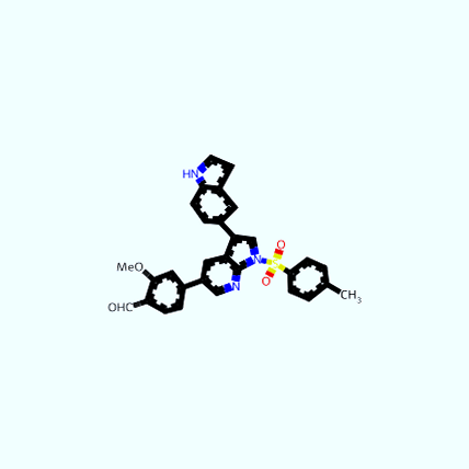 COc1cc(-c2cnc3c(c2)c(-c2ccc4[nH]ccc4c2)cn3S(=O)(=O)c2ccc(C)cc2)ccc1C=O